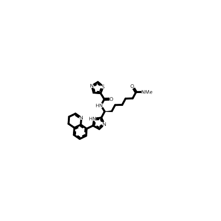 CNC(=O)CCCCC[C@H](NC(=O)c1cncs1)c1ncc(-c2cccc3c2N=CCC3)[nH]1